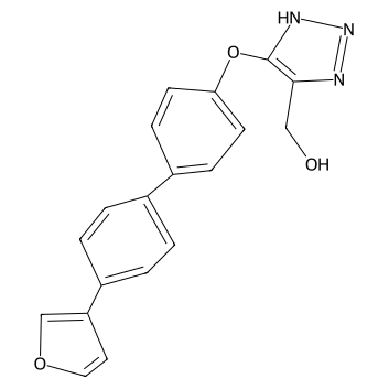 OCc1nn[nH]c1Oc1ccc(-c2ccc(-c3ccoc3)cc2)cc1